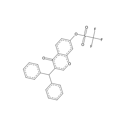 O=c1c(C(c2ccccc2)c2ccccc2)coc2cc(OS(=O)(=O)C(F)(F)F)ccc12